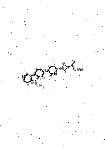 COC(=O)C1CN(c2ccc(-c3ccc4c5cnccc5n(C)c4c3)cn2)C1